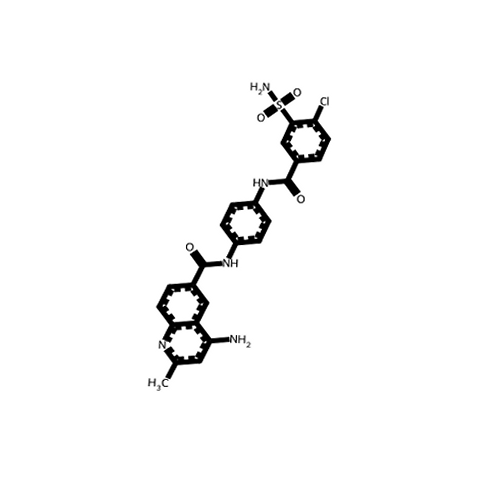 Cc1cc(N)c2cc(C(=O)Nc3ccc(NC(=O)c4ccc(Cl)c(S(N)(=O)=O)c4)cc3)ccc2n1